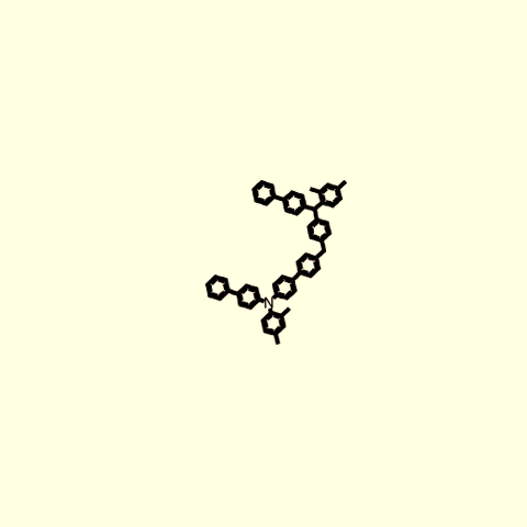 Cc1ccc(C(c2ccc(Cc3ccc(-c4ccc(N(c5ccc(-c6ccccc6)cc5)c5ccc(C)cc5C)cc4)cc3)cc2)c2ccc(-c3ccccc3)cc2)c(C)c1